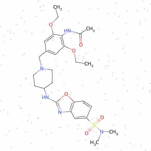 CCOc1cc(CN2CCC(Nc3nc4cc(S(=O)(=O)N(C)C)ccc4o3)CC2)cc(OCC)c1NC(C)=O